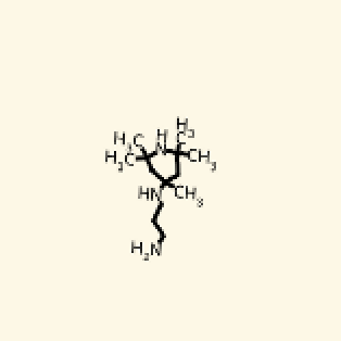 CC1(C)CC(C)(NCCCN)CC(C)(C)N1